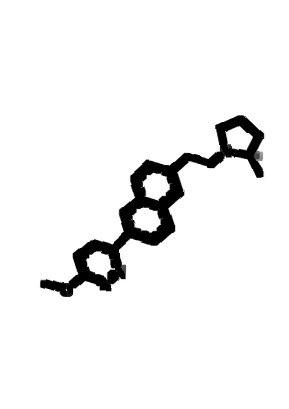 COc1ccc(-c2ccc3cc(CCN4CCC[C@H]4C)ccc3c2)nn1